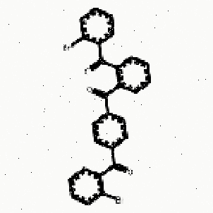 O=C(c1ccc(C(=O)c2ccccc2C(=O)c2ccccc2Br)cc1)c1ccccc1Br